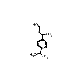 CC(C)c1ccc(C(C)CCO)cc1